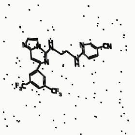 N#Cc1ccc(NCCNc2nc(-c3cc(C(F)(F)F)cc(C(F)(F)F)c3)cc3nccn23)nc1